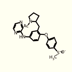 CC(=O)N1CCCC1Cc1cc(Nc2cnccn2)ccc1Oc1ccc([S+](C)[O-])cc1